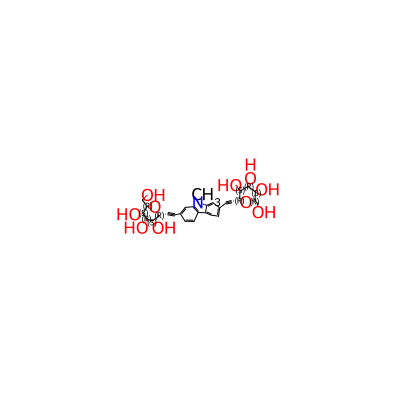 Cn1c2cc(C#C[C@H]3O[C@H](CO)[C@@H](O)[C@H](O)[C@@H]3O)ccc2c2ccc(C#C[C@H]3O[C@H](CO)[C@@H](O)[C@H](O)[C@@H]3O)cc21